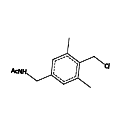 CC(=O)NCc1cc(C)c(CCl)c(C)c1